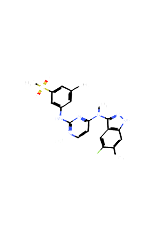 Cc1cc(Nc2nccc(N(C)c3n[nH]c4cc(C)c(F)cc34)n2)cc(S(C)(=O)=O)c1.Cl